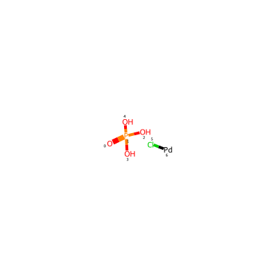 O=P(O)(O)O.[Cl][Pd]